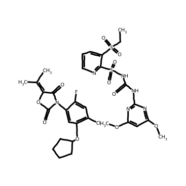 CC(C)=C1OC(=O)N(c2cc(OC3CCCC3)c(Cl)cc2F)C1=O.CCS(=O)(=O)c1cccnc1S(=O)(=O)NC(=O)Nc1nc(OC)cc(OC)n1